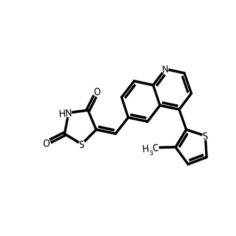 Cc1ccsc1-c1ccnc2ccc(/C=C3/SC(=O)NC3=O)cc12